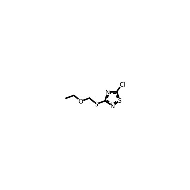 CCOCSc1nsc(Cl)n1